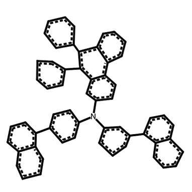 c1ccc(-c2c(-c3ccccc3)c3cc(N(c4ccc(-c5cccc6ccccc56)cc4)c4cccc(-c5cccc6ccccc56)c4)ccc3c3ccccc23)cc1